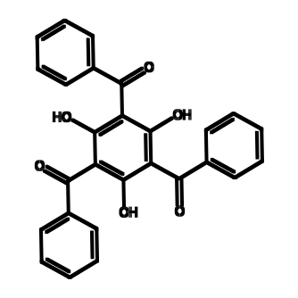 O=C(c1ccccc1)c1c(O)c(C(=O)c2ccccc2)c(O)c(C(=O)c2ccccc2)c1O